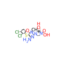 Cn1c(N2CCN(C(=O)O)[C@@H](CO)C2)nc(N)c(Sc2cccc(Cl)c2Cl)c1=O